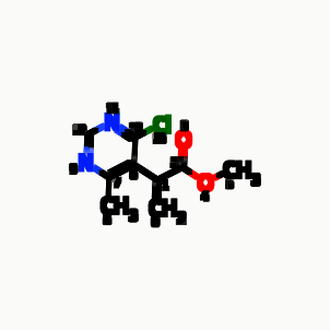 C=C(C(=O)OC)c1c(C)ncnc1Cl